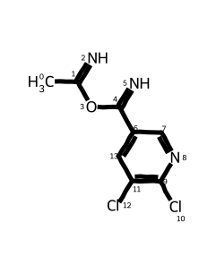 CC(=N)OC(=N)c1cnc(Cl)c(Cl)c1